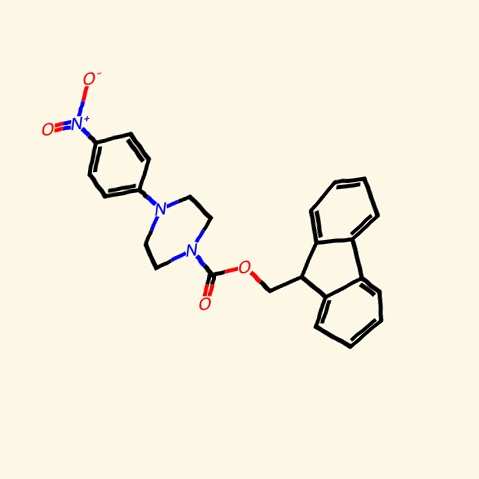 O=C(OCC1c2ccccc2-c2ccccc21)N1CCN(c2ccc([N+](=O)[O-])cc2)CC1